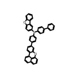 c1ccc(-c2ccc(N(c3ccc(-c4ccc5c(c4)Oc4cccc6cccc-5c46)cc3)c3ccc4oc5ccccc5c4c3)cc2)cc1